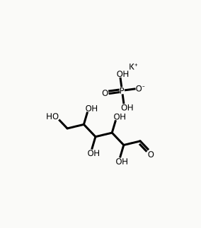 O=CC(O)C(O)C(O)C(O)CO.O=P([O-])(O)O.[K+]